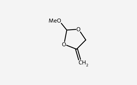 C=C1COC(OC)O1